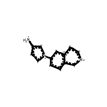 Nc1ccn(-c2ccc3cnccc3c2)c1